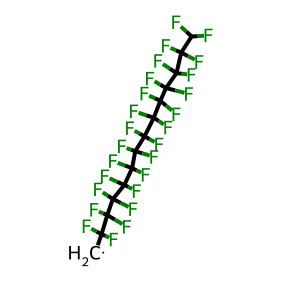 [CH2]C(F)(F)C(F)(F)C(F)(F)C(F)(F)C(F)(F)C(F)(F)C(F)(F)C(F)(F)C(F)(F)C(F)(F)C(F)(F)C(F)(F)C(F)F